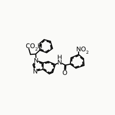 O=C(O)CC(c1ccccc1)n1cnc2ccc(NC(=O)c3cccc([N+](=O)[O-])c3)cc21